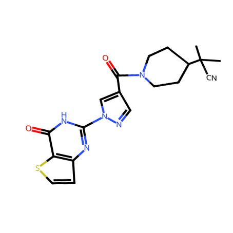 CC(C)(C#N)C1CCN(C(=O)c2cnn(-c3nc4ccsc4c(=O)[nH]3)c2)CC1